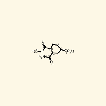 CCCCOC(=O)N1CCC(C(=O)OCC)CC1C(N)=O